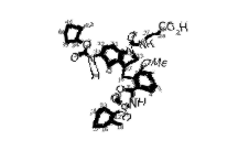 COc1cccc(C(=O)NS(=O)(=O)c2ccccc2C)c1Cc1cn(C(=O)NCCC(=O)O)c2ccc(NC(=O)OC3CCCC3)cc12